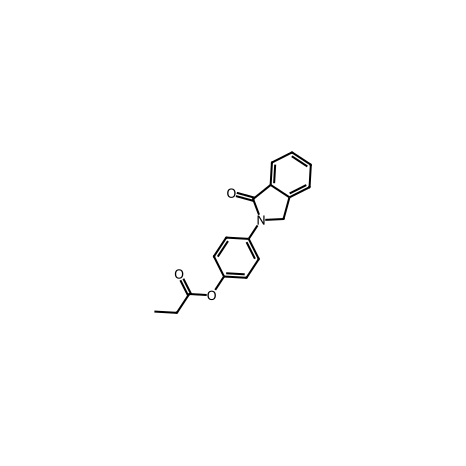 CCC(=O)Oc1ccc(N2Cc3ccccc3C2=O)cc1